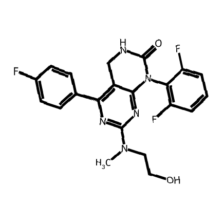 CN(CCO)c1nc(-c2ccc(F)cc2)c2c(n1)N(c1c(F)cccc1F)C(=O)NC2